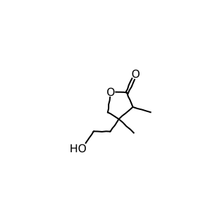 CC1C(=O)OCC1(C)CCO